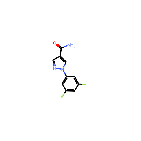 NC(=O)c1cnn(-c2cc(F)cc(F)c2)c1